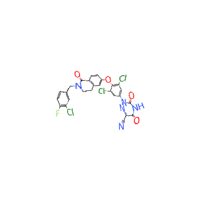 N#Cc1nn(-c2cc(Cl)c(Oc3ccc4c(c3)CCN(Cc3ccc(F)c(Cl)c3)C4=O)c(Cl)c2)c(=O)[nH]c1=O